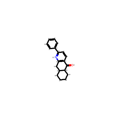 O=C1c2ccc(-c3ccccc3)nc2CC2CCCCC12